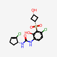 O=C(Nc1ccc(Cl)c(S(=O)(=O)[C@H]2C[C@@H](O)C2)c1O)N[C@@H]1CCC=C1Cl